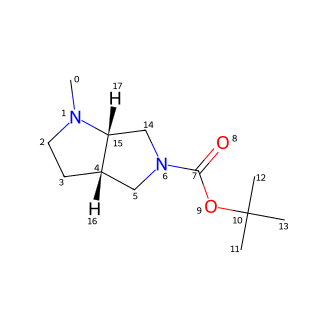 CN1CC[C@H]2CN(C(=O)OC(C)(C)C)C[C@H]21